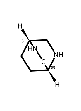 C1C[C@@H]2CN[C@H]1CN2